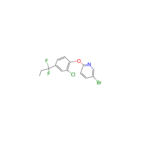 CCC(F)(F)c1ccc(Oc2ccc(Br)cn2)c(Cl)c1